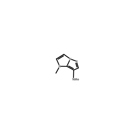 CNc1cnn2ccn(C)c12